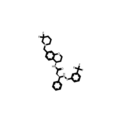 O=C(C[C@@H](NSc1cccc(C(F)(F)F)c1)c1ccccc1)N[C@@H]1CCOc2cc(CN3CCCC(F)(F)C3)ccc21